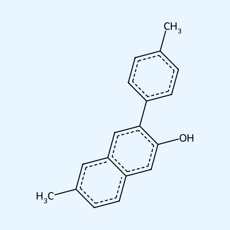 Cc1ccc(-c2cc3cc(C)ccc3cc2O)cc1